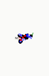 Cn1cc(-c2cc(N3CC4CC(C3)N4C(=O)NCc3ccc(-n4cc(F)cn4)nc3)c3c(C#N)cnn3c2)cn1